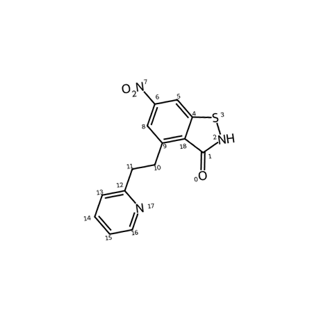 O=c1[nH]sc2cc([N+](=O)[O-])cc(CCc3ccccn3)c12